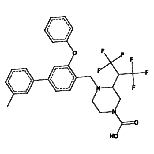 Cc1cccc(-c2ccc(CN3CCN(C(=O)O)CC3C(C(F)(F)F)C(F)(F)F)c(Oc3ccccc3)c2)c1